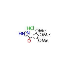 COc1cc(C(=O)c2c[nH]cn2)cc(OC)c1OC.Cl